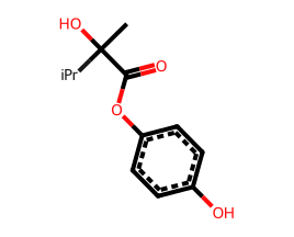 CC(C)C(C)(O)C(=O)Oc1ccc(O)cc1